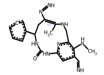 CNc1c(C=N)cc2nc1CN/C(C)=C(\N=N)CC(c1ccccc1)NC(=O)N2